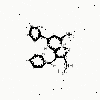 CNc1nn2c(N)cc(-c3ccco3)nc2c1Sc1ccccc1